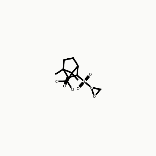 CC12CCC(C(S(=O)(=O)N3CO3)C1=O)C2(C)C(Cl)Cl